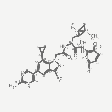 CC(=O)c1nn(CC(=O)N[C@@H](C[C@@]2(C)[C@H]3C[C@]32C)C(=O)Nc2nc(Br)ccc2C)c2c(C3CC3)cc(-c3cnc(C)nc3)cc12